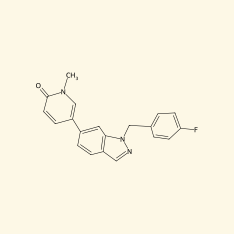 Cn1cc(-c2ccc3cnn(Cc4ccc(F)cc4)c3c2)ccc1=O